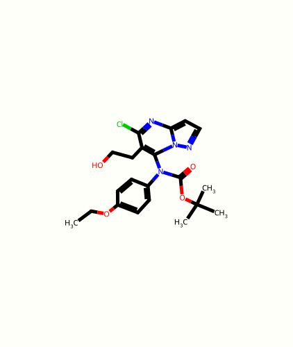 CCOc1ccc(N(C(=O)OC(C)(C)C)c2c(CCO)c(Cl)nc3ccnn23)cc1